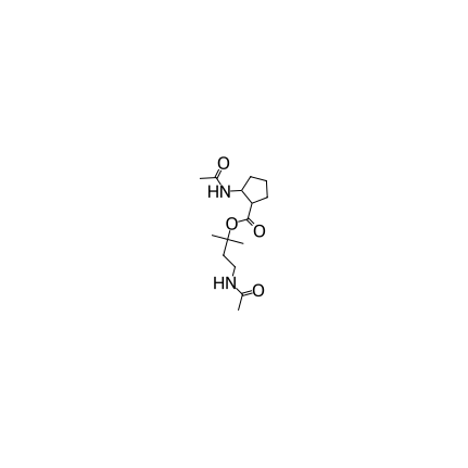 CC(=O)NCCC(C)(C)OC(=O)C1CCCC1NC(C)=O